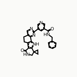 O=C(NCc1ccccc1)c1cncc(-c2ncc3c(n2)-c2[nH]c4c(c2CC3)C(=O)NCC42CC2)c1